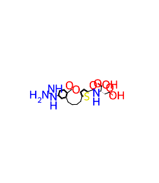 N=C(N)Nc1ccc2c(c1)CCCCc1sc(C(=O)N[C@@H](CC(=O)O)C(=O)O)cc1OC2=O